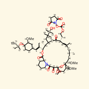 COC1CC(/C=C(\C)[C@H]2OC(=O)C3CCCCN3C(=O)C(=O)C3(O)O[C@@H]([C@@H](OC)CC3C)[C@@H](OC)C[C@@H](C)C/C(C)=C/[C@@H](CCOC(=O)ON3C(=O)CCC3=O)C(=O)CC(CC(C)(C)[Si](C)(C)O)[C@H]2C)CCC1O[Si](C)(C)C(C)(C)C